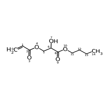 C=CC(=O)OCC(O)C(=O)OCCCC